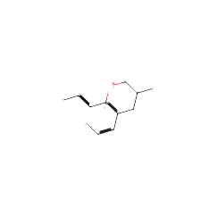 C/C=C\C1=C(/C=C/C)OCC(C)C1